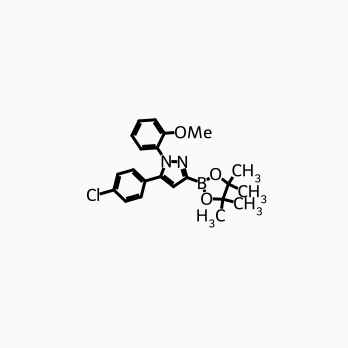 COc1ccccc1-n1nc(B2OC(C)(C)C(C)(C)O2)cc1-c1ccc(Cl)cc1